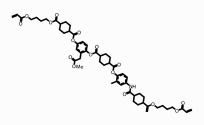 C=CC(=O)OCCCCOC(=C)C1CCC(C(=O)Nc2ccc(OC(=O)C3CCC(C(=O)Oc4ccc(OC(=O)C5CCC(C(=O)OCCCCOC(=O)C=C)CC5)cc4CC(=O)OC)CC3)c(C)c2)CC1